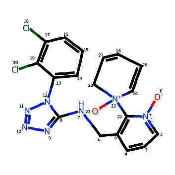 [O-][n+]1cccc(CNc2nnnn2-c2cccc(Cl)c2Cl)c1[N+]1([O-])C=CC=CC1